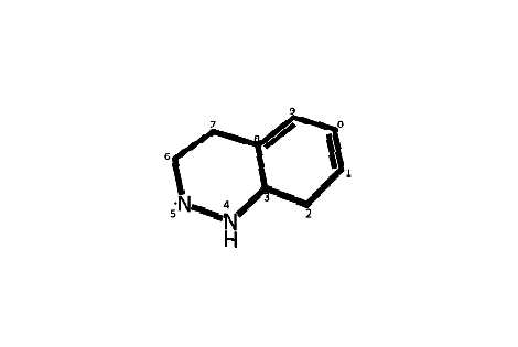 C1=CCC2N[N]CCC2=C1